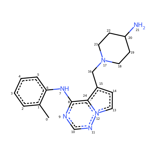 Cc1ccccc1Nc1ncnn2ccc(CN3CCC(N)CC3)c12